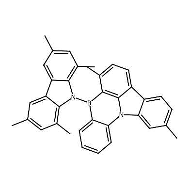 Cc1cc(C)c2c(c1)c1cc(C)cc(C)c1n2B1c2ccccc2-n2c3cc(C)ccc3c3ccc(C)c1c32